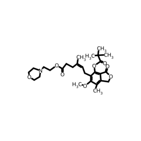 COc1c(C)c2c(c(OC(=O)C(C)(C)C)c1CC=C(C)CCC(=O)OCCN1CCOCC1)C(=O)OC2